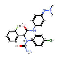 CN(C)N=C1C=CC(NC(=O)C(c2ccccc2F)N(C(N)=O)c2ccc(Cl)cc2)C=C1